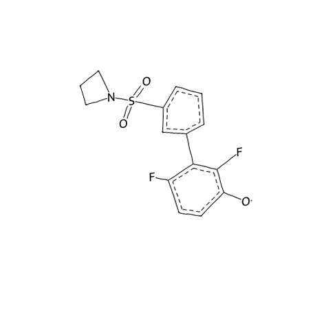 [O]c1ccc(F)c(-c2cccc(S(=O)(=O)N3CCC3)c2)c1F